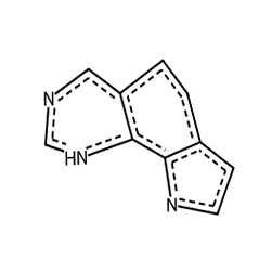 c1cc2ccc3cnc[nH]c3c2n1